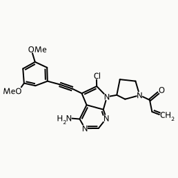 C=CC(=O)N1CCC(n2c(Cl)c(C#Cc3cc(OC)cc(OC)c3)c3c(N)ncnc32)C1